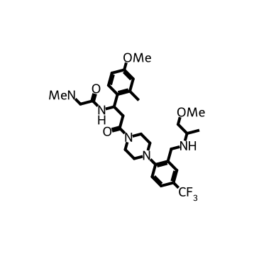 CNCC(=O)NC(CC(=O)N1CCN(c2ccc(C(F)(F)F)cc2CNC(C)COC)CC1)c1ccc(OC)cc1C